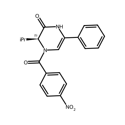 CC(C)[C@H]1C(=O)NC(c2ccccc2)=CN1C(=O)c1ccc([N+](=O)[O-])cc1